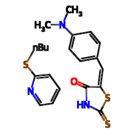 CCCCSc1ccccn1.CN(C)c1ccc(C=C2SC(=S)NC2=O)cc1